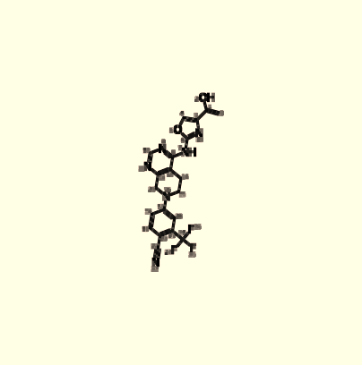 C=C(O)c1coc(Nc2ncnc3c2CCN(c2ccc(C#N)c(C(F)(F)F)c2)C3)n1